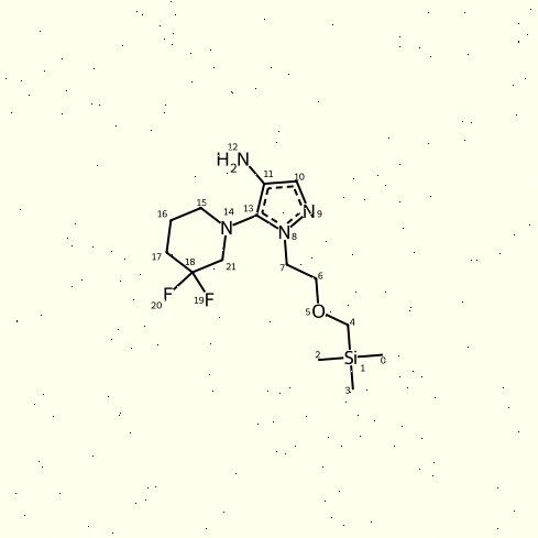 C[Si](C)(C)COCCn1ncc(N)c1N1CCCC(F)(F)C1